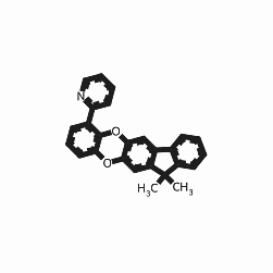 CC1(C)c2ccccc2-c2cc3c(cc21)Oc1cccc(-c2ccccn2)c1O3